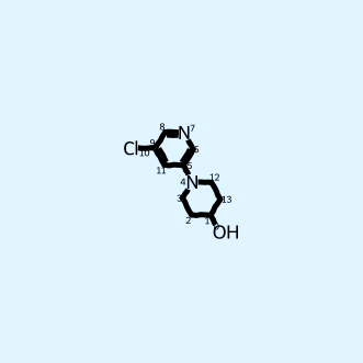 OC1CCN(c2cncc(Cl)c2)CC1